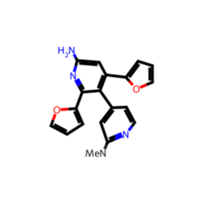 CNc1cc(-c2c(-c3ccco3)cc(N)nc2-c2ccco2)ccn1